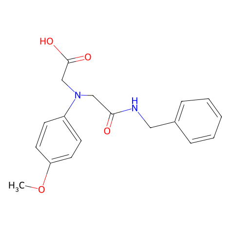 COc1ccc(N(CC(=O)O)CC(=O)NCc2ccccc2)cc1